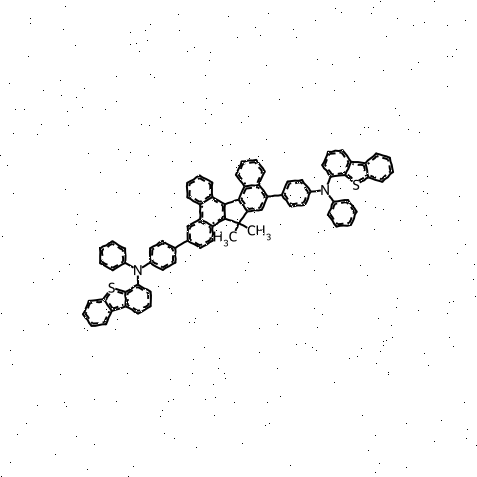 CC1(C)c2cc(-c3ccc(N(c4ccccc4)c4cccc5c4sc4ccccc45)cc3)c3ccccc3c2-c2c1c1ccc(-c3ccc(N(c4ccccc4)c4cccc5c4sc4ccccc45)cc3)cc1c1ccccc21